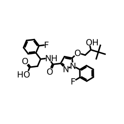 CC(C)(C)C(O)COc1cc(C(=O)NC(CC(=O)O)c2ccccc2F)nn1-c1ccccc1F